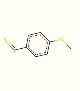 CSc1ccc([C]=S)cc1